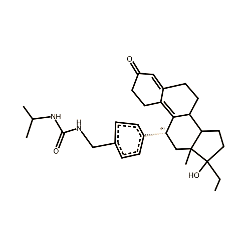 CCC1(O)CCC2C3CCC4=CC(=O)CCC4=C3[C@@H](c3ccc(CNC(=O)NC(C)C)cc3)CC21C